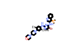 CCc1cc(Nc2ncc(Br)c(Nc3cnc4ccccc4c3P(C)C)n2)c(OC)cc1N1CCC(N2CCOCC2)CC1